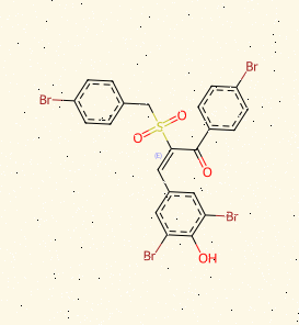 O=C(/C(=C\c1cc(Br)c(O)c(Br)c1)S(=O)(=O)Cc1ccc(Br)cc1)c1ccc(Br)cc1